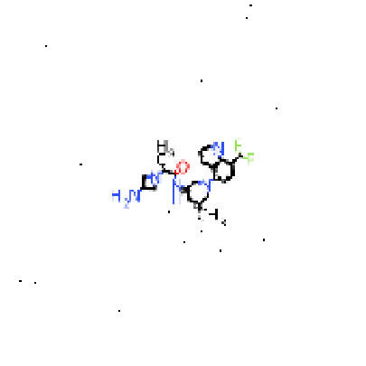 CC(C(=O)N[C@@H]1C[C@H](C)CN(c2ccc(C(F)F)c3ncccc23)C1)N1CC(N)C1